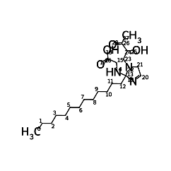 CCCCCCCCCCCCCC1(NCC(=O)O)N=CCN1CC(O)C(C)=O